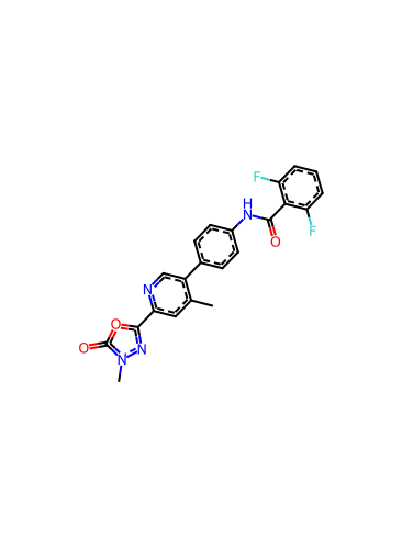 Cc1cc(-c2nn(C)c(=O)o2)ncc1-c1ccc(NC(=O)c2c(F)cccc2F)cc1